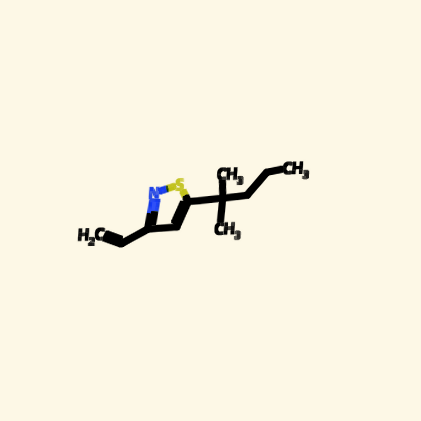 C=Cc1cc(C(C)(C)CCC)sn1